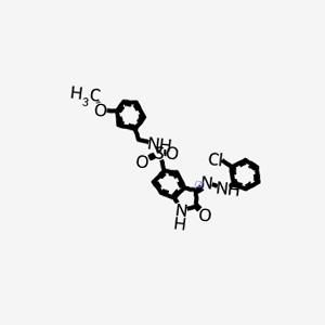 COc1cccc(CNS(=O)(=O)c2ccc3c(c2)/C(=N/Nc2ccccc2Cl)C(=O)N3)c1